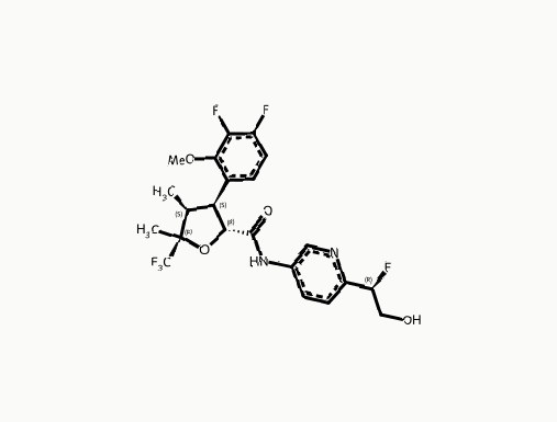 COc1c([C@H]2[C@H](C(=O)Nc3ccc([C@@H](F)CO)nc3)O[C@@](C)(C(F)(F)F)[C@H]2C)ccc(F)c1F